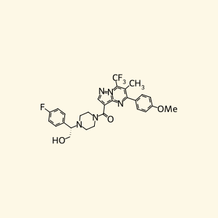 COc1ccc(-c2nc3c(C(=O)N4CCN([C@H](CO)c5ccc(F)cc5)CC4)cnn3c(C(F)(F)F)c2C)cc1